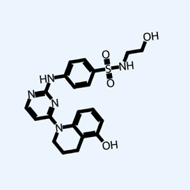 O=S(=O)(NCCO)c1ccc(Nc2nccc(N3CCCc4c(O)cccc43)n2)cc1